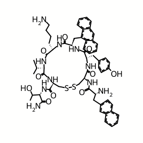 CC(C)[C@@H]1NC(=O)[C@H](CCCCN)NC(=O)[C@@H](Cc2c3ccccc3cc3ccccc23)NC(=O)[C@H](Cc2ccc(O)cc2)NC(=O)[C@@H](NC(=O)[C@H](N)Cc2ccc3ccccc3c2)CSSC[C@@H](C(=O)N[C@H](C(N)=O)C(C)O)NC1=O